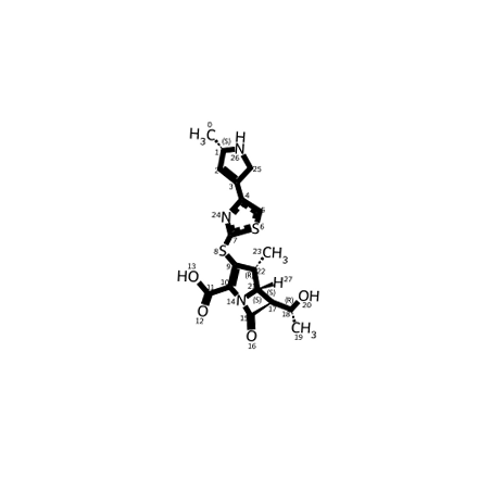 C[C@H]1C=C(c2csc(SC3=C(C(=O)O)N4C(=O)[C@H]([C@@H](C)O)[C@H]4[C@H]3C)n2)CN1